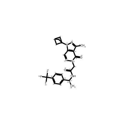 Cc1nn(C23CC(C2)C3)c2cnn(CC(=O)N[C@@H](C)c3ccc(C(F)(F)F)cc3)c(=O)c12